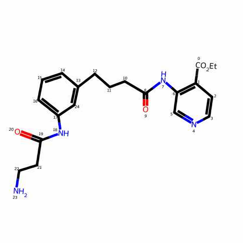 CCOC(=O)c1ccncc1NC(=O)CCCc1cccc(NC(=O)CCN)c1